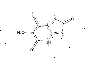 Cn1c(=O)[nH]c2c(c1=O)=NC(=O)N=2